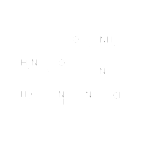 CC(Nc1cc(C(N)=O)nc(Cl)n1)C(N)=O